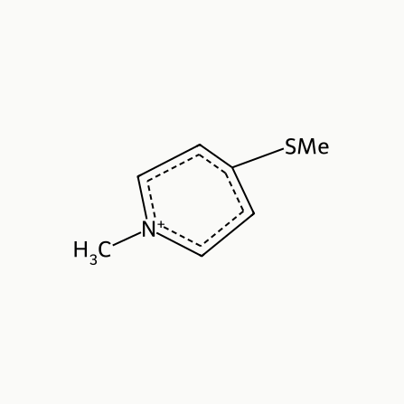 [CH2]Sc1cc[n+](C)cc1